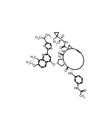 COc1ccc2c(O[C@@H]3C[C@H]4C(=O)N[C@]5(C(=O)NS(=O)(=O)C6(C)CC6)CC5/C=C\CCCCC[C@H](Nc5cccc(NC(C)=O)c5)C(=O)N4C3)cc(-c3nc(C(C)C)cs3)nc2c1C